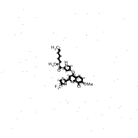 C=CCCCCN(C)C(=O)[C@@H]1C[C@H](Oc2cc(-c3nc(C(F)(F)F)cs3)nc3c(Cl)c(OC)ccc23)CN1